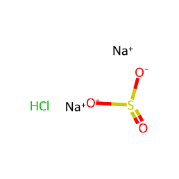 Cl.O=S([O-])[O-].[Na+].[Na+]